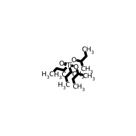 CCC(C)[O][Ti](=[O])([O]C(C)CC)([CH](C)CC)[CH](C)CC